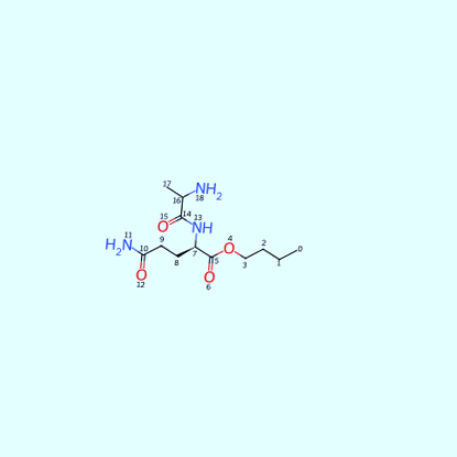 CCCCOC(=O)[C@@H](CCC(N)=O)NC(=O)C(C)N